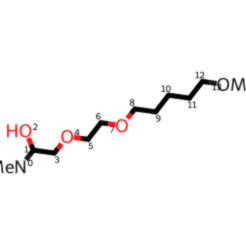 CNC(O)COCCOCCCCCOC